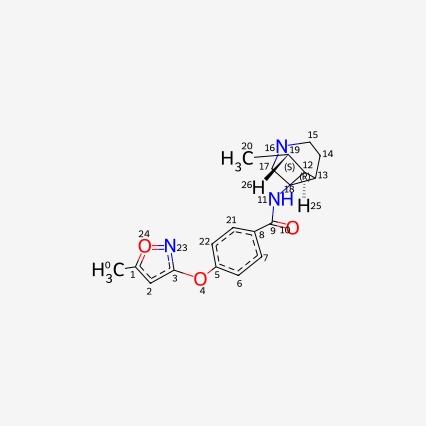 Cc1cc(Oc2ccc(C(=O)N[C@@H]3C4CCN(CC4)[C@H]3C)cc2)no1